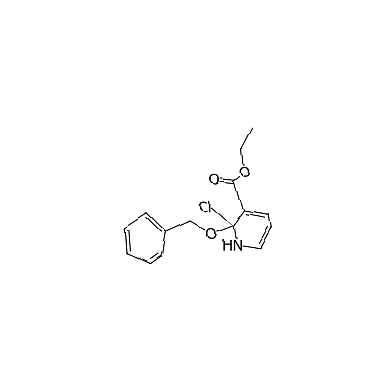 CCOC(=O)C1=CC=CNC1(Cl)OCc1ccccc1